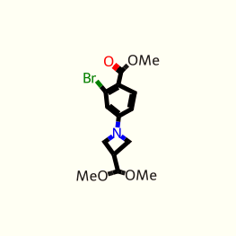 COC(=O)c1ccc(N2CC(C(OC)OC)C2)cc1Br